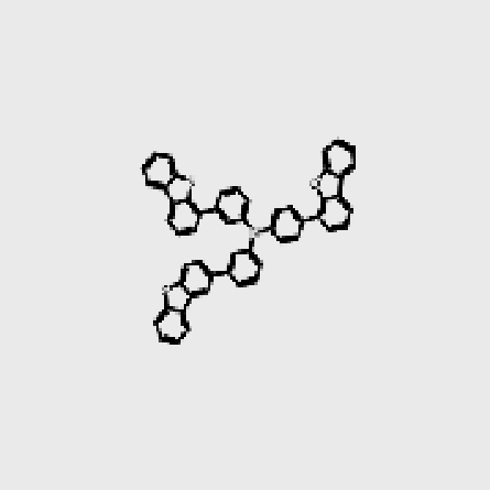 c1cc(-c2ccc3sc4ccccc4c3c2)cc(N(c2ccc(-c3cccc4c3oc3ccccc34)cc2)c2cccc(-c3cccc4c3sc3ccccc34)c2)c1